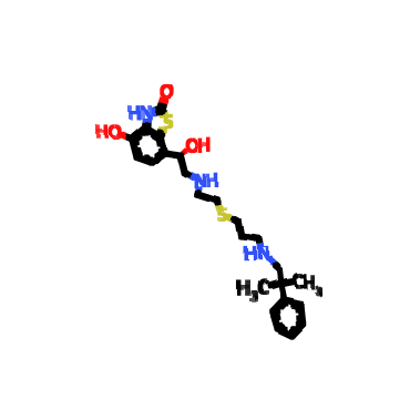 CC(C)(CNCCCSCCNC[C@H](O)c1ccc(O)c2[nH]c(=O)sc12)c1ccccc1